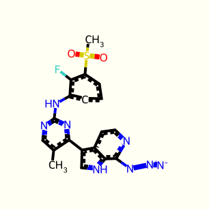 Cc1cnc(Nc2cccc(S(C)(=O)=O)c2F)nc1-c1c[nH]c2c(N=[N+]=[N-])nccc12